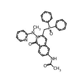 CC(=O)Nc1ccc2c(=O)n(N(C)c3ccccn3)c(CP(=O)(c3ccccc3)c3ccccc3)cc2c1